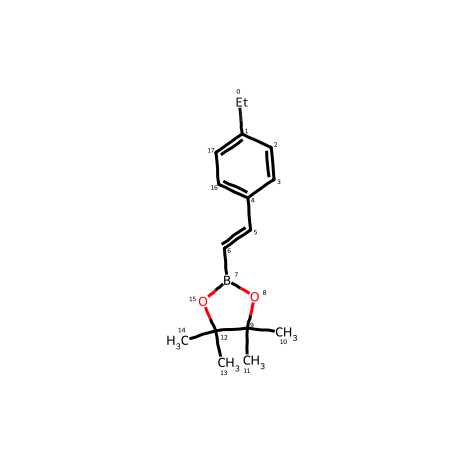 CCc1ccc(C=CB2OC(C)(C)C(C)(C)O2)cc1